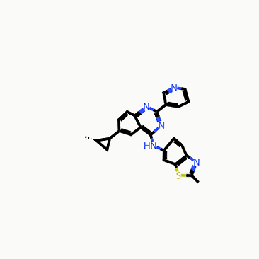 Cc1nc2ccc(Nc3nc(-c4cccnc4)nc4ccc(C5C[C@@H]5C)cc34)cc2s1